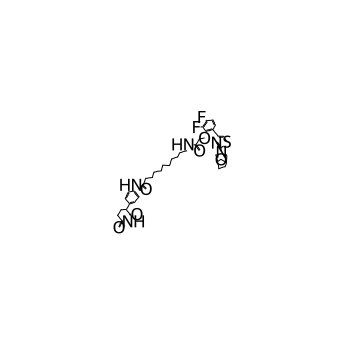 O=C(COc1c(-c2csc(N3CC4CCC(C3)O4)n2)ccc(F)c1F)NCCCCCCCCCCC(=O)Nc1ccc(C2CCC(=O)NC2=O)cc1